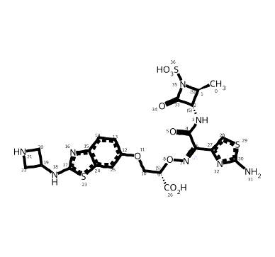 C[C@H]1[C@H](NC(=O)/C(=N\O[C@@H](COc2ccc3nc(NC4CNC4)sc3c2)C(=O)O)c2csc(N)n2)C(=O)N1S(=O)(=O)O